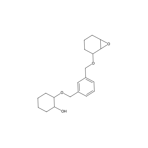 OC1CCCCC1OCc1cccc(COC2CCCC3OC23)c1